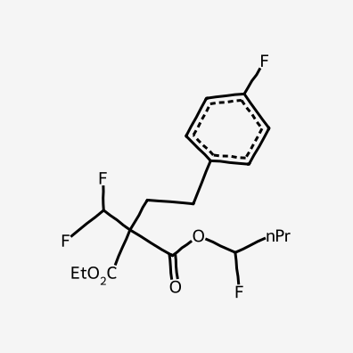 CCCC(F)OC(=O)C(CCc1ccc(F)cc1)(C(=O)OCC)C(F)F